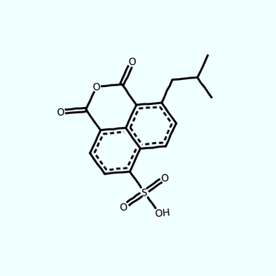 CC(C)Cc1ccc2c(S(=O)(=O)O)ccc3c2c1C(=O)OC3=O